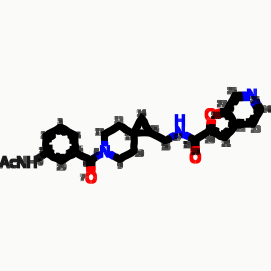 CC(=O)Nc1cccc(C(=O)N2CCC3(CC2)CC3CNC(=O)c2cc3ccncc3o2)c1